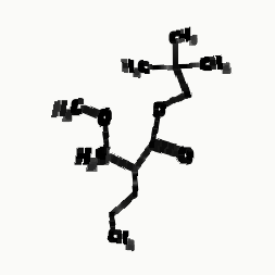 CCCC([SiH2]OC)C(=O)OCC(C)(C)C